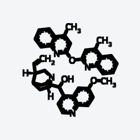 C=C[C@@H]1CN2CCC1C[C@H]2C(O)c1ccnc2ccc(OC)cc12.Cc1cc(Oc2cc(C)c3ccccc3n2)nc2ccccc12